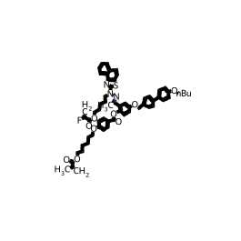 C=C(C)C(=O)OCCCCCCOc1ccc(C(=O)Oc2ccc(OCc3ccc(-c4ccc(OCCCC)cc4)cc3)cc2/C(C)=N/N(CCCCCOC(=O)C(=C)F)c2nc3c(ccc4ccccc43)s2)cc1